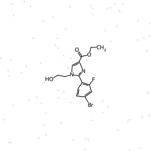 CCOC(=O)c1cn(CCO)c(-c2ccc(Br)cc2F)n1